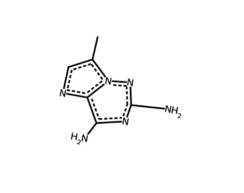 Cc1cnc2c(N)nc(N)nn12